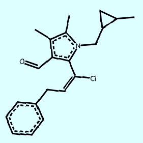 Cc1c(C=O)c(/C(Cl)=C\Cc2ccccc2)n(CC2CC2C)c1C